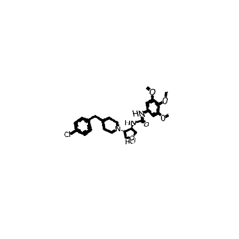 COc1cc(NC(=O)N[C@H]2COC[C@@H]2N2CCC(Cc3ccc(Cl)cc3)CC2)cc(OC)c1OC.Cl